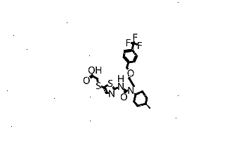 C[C@H]1CC[C@H](N(CCOCc2ccc(C(F)(F)F)cc2)C(=O)Nc2ncc(SCC(=O)O)s2)CC1